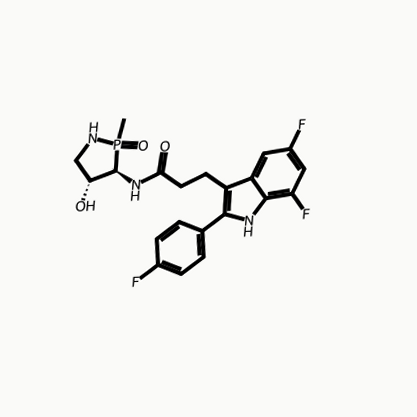 CP1(=O)NC[C@@H](O)[C@@H]1NC(=O)CCc1c(-c2ccc(F)cc2)[nH]c2c(F)cc(F)cc12